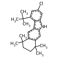 CC(C)(C)c1cc(Cl)cc2[nH]c3cc4c(cc3c12)C(C)(C)CCC4(C)C